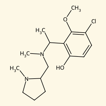 COc1c(Cl)ccc(O)c1C(C)N(C)CC1CCCN1C